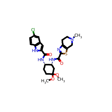 COC1(OC)CC[C@H](NC(=O)c2cc3cc(Cl)ccc3[nH]2)[C@H](NC(=O)c2nc3c(s2)CN(C)CC3)C1